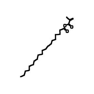 C=C(C)C(=O)OC(=O)CCCCCCCCCCCCCCCCCCC